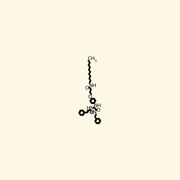 CCCCCCCCCCCCNC(=O)CCCOc1ccc(NC(NC(=O)C=Cc2ccccc2)C(=O)NCCc2ccccc2)cc1